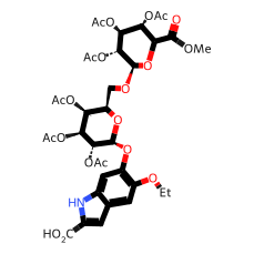 CCOc1cc2cc(C(=O)O)[nH]c2cc1O[C@@H]1O[C@H](CO[C@@H]2OC(C(=O)OC)[C@@H](OC(C)=O)[C@H](OC(C)=O)[C@H]2OC(C)=O)[C@H](OC(C)=O)[C@H](OC(C)=O)[C@H]1OC(C)=O